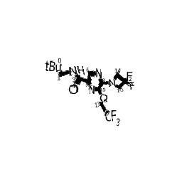 CC(C)(C)CNC(=O)c1cnc(N2CC(F)(F)C2)c(OCC(F)(F)F)n1